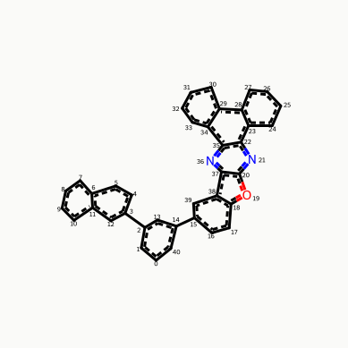 c1cc(-c2ccc3ccccc3c2)cc(-c2ccc3oc4nc5c6ccccc6c6ccccc6c5nc4c3c2)c1